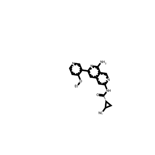 CCOc1ccncc1-c1cc2cc(NC(=O)[C@@H]3CC3C#N)ncc2c(N)n1